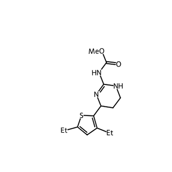 CCc1cc(CC)c(C2CCNC(NC(=O)OC)=N2)s1